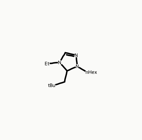 CCCCCCN1N=CN(CC)C1CC(C)(C)C